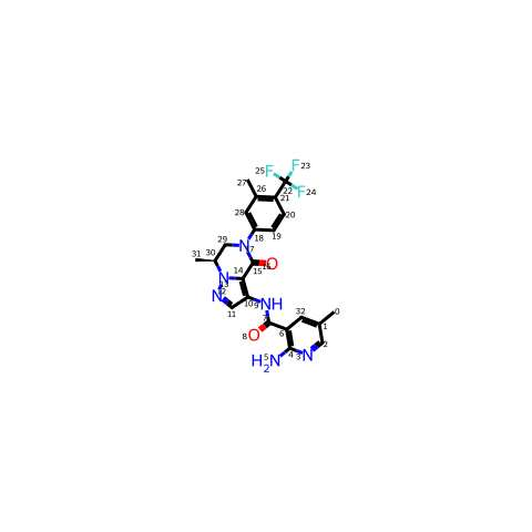 Cc1cnc(N)c(C(=O)Nc2cnn3c2C(=O)N(c2ccc(C(F)(F)F)c(C)c2)C[C@@H]3C)c1